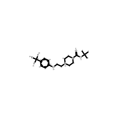 CC(C)(C)OC(=O)N1CCN(CCOc2ccc(C(F)(F)F)cc2)CC1